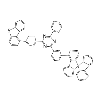 c1ccc(-c2nc(-c3ccc(-c4cccc5sc6ccccc6c45)cc3)nc(-c3cccc(-c4cccc5c4-c4ccccc4C54c5ccccc5-c5ccccc54)c3)n2)cc1